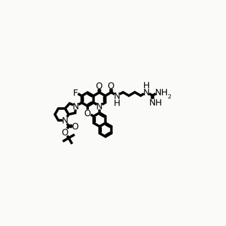 CC(C)(C)OC(=O)N1CCCC2CN(c3c(F)cc4c(=O)c(C(=O)NCCCCNC(=N)N)cn5c4c3Oc3cc4ccccc4cc3-5)CC21